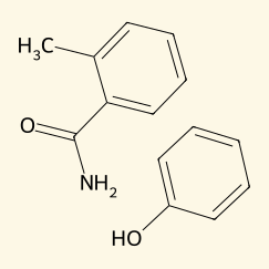 Cc1ccccc1C(N)=O.Oc1ccccc1